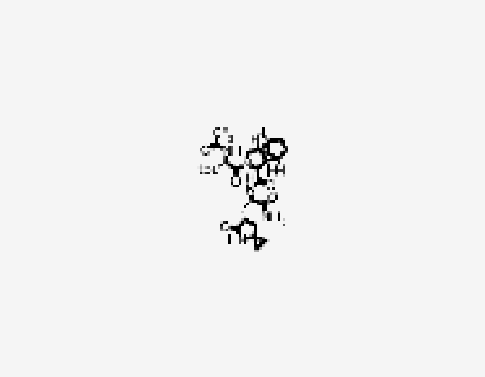 CC(C)(C)[C@H](NC(=O)C(F)(F)F)C(=O)N1C[C@@H]2[C@@H]3CC[C@@H](C3)[C@@H]2[C@H]1C(=O)N[C@@H](C[C@@H]1CC2(CC2)NC1=O)C(N)=O